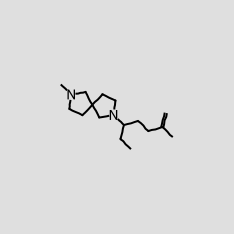 C=C(C)CCC(CC)N1CCC2(CCN(C)C2)C1